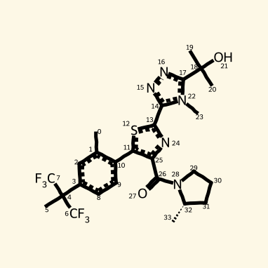 Cc1cc(C(C)(C(F)(F)F)C(F)(F)F)ccc1-c1sc(-c2nnc(C(C)(C)O)n2C)nc1C(=O)N1CCC[C@@H]1C